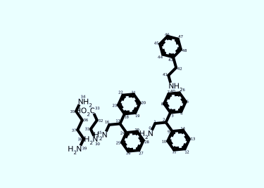 NCC(c1ccccc1)c1ccccc1.NCC(c1ccccc1)c1ccccc1.NCCC(=O)O.NCCCCN.NCCc1ccccc1